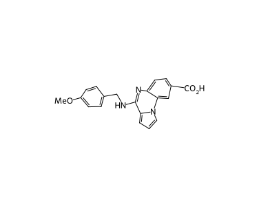 COc1ccc(CNc2nc3ccc(C(=O)O)cc3n3cccc23)cc1